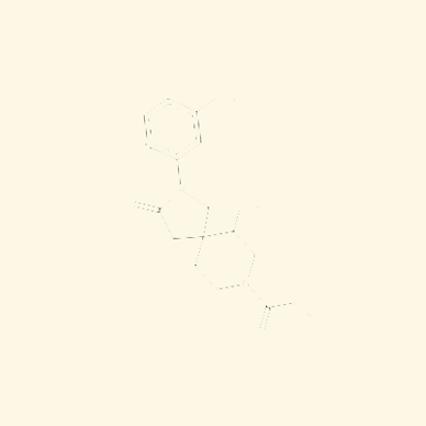 CC1CN(C(=O)OC(C)(C)C)CCC12CC(=O)N(c1cc(C(F)(F)F)ccn1)C2